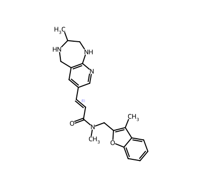 Cc1c(CN(C)C(=O)/C=C/c2cnc3c(c2)CNC(C)CN3)oc2ccccc12